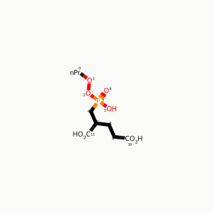 CCCOOP(=O)(O)CC(CCC(=O)O)C(=O)O